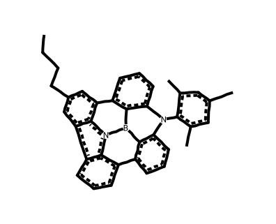 CCCCc1cc2c3c(c1)c1cccc4c1n3B1c3c-4cccc3N(c3c(C)cc(C)cc3C)c3cccc-2c31